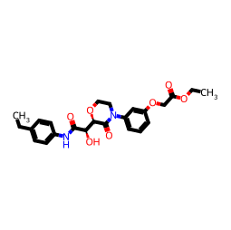 CCOC(=O)COc1cccc(N2CCO[C@H]([C@@H](O)C(=O)Nc3ccc(CC)cc3)C2=O)c1